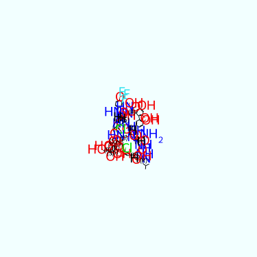 CN[C@H](CC(C)C)C(=O)NC1C(=O)N[C@@H](CC(N)=O)C(=O)NC2C(=O)N[C@H]3C(=O)N[C@H](C(=O)N[C@@H](C(=O)NO)c4cc(O)cc(O)c4-c4cc3ccc4O)[C@H](O)c3ccc(c(Cl)c3)Oc3cc2cc(c3O[C@@H]2O[C@H](CO)[C@@H](O)[C@H](O)[C@H]2O[C@@H](C[C@H](C)NCCC2CCN(C(=O)Nc3ccc(OC(F)(F)F)cc3)CC2)O[C@@H](C)CO)Oc2ccc(cc2Cl)[C@H]1O